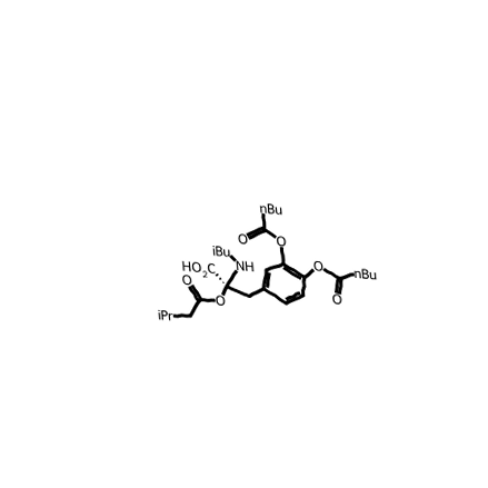 CCCCC(=O)Oc1ccc(C[C@](NC(C)CC)(OC(=O)CC(C)C)C(=O)O)cc1OC(=O)CCCC